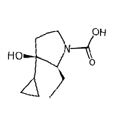 CC[C@@H]1N(C(=O)O)CC[C@@]1(O)C1CC1